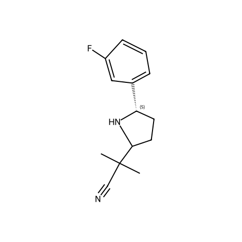 CC(C)(C#N)C1CC[C@@H](c2cccc(F)c2)N1